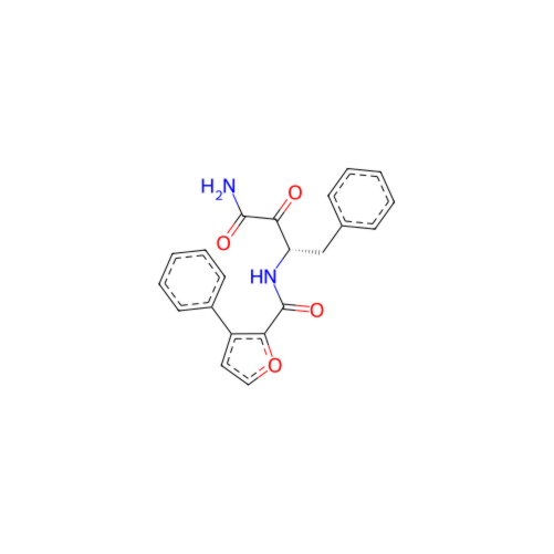 NC(=O)C(=O)[C@H](Cc1ccccc1)NC(=O)c1occc1-c1ccccc1